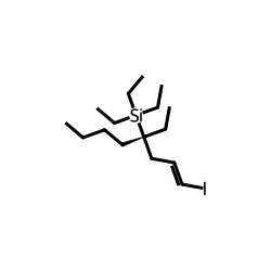 CCCC[C@@](CC)(C/C=C/I)[Si](CC)(CC)CC